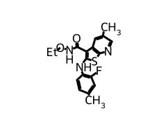 CCONC(=O)c1c(Nc2ccc(C)cc2F)sc2ncc(C)cc12